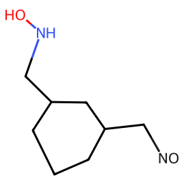 O=NCC1CCCC(CNO)C1